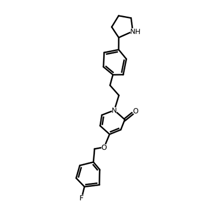 O=c1cc(OCc2ccc(F)cc2)ccn1CCc1ccc(C2CCCN2)cc1